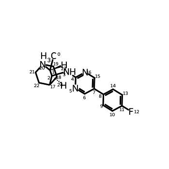 C[C@@H]1[C@@H](Nc2ncc(-c3ccc(F)cc3)cn2)C2CCN1CC2